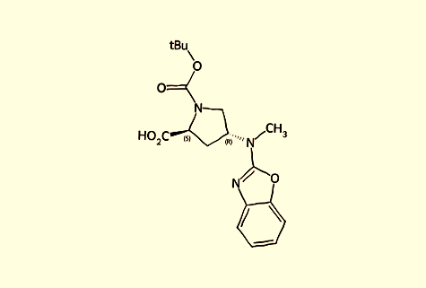 CN(c1nc2ccccc2o1)[C@@H]1C[C@@H](C(=O)O)N(C(=O)OC(C)(C)C)C1